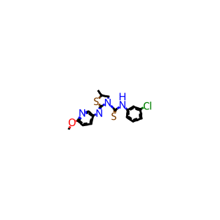 COc1ccc(N=C2SC(C)CN2C(=S)Nc2cccc(Cl)c2)cn1